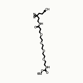 C#CCCC1(CCNC(=O)CCOCCOCCOCCOCCNC(=O)OC(C)(C)C)N=N1